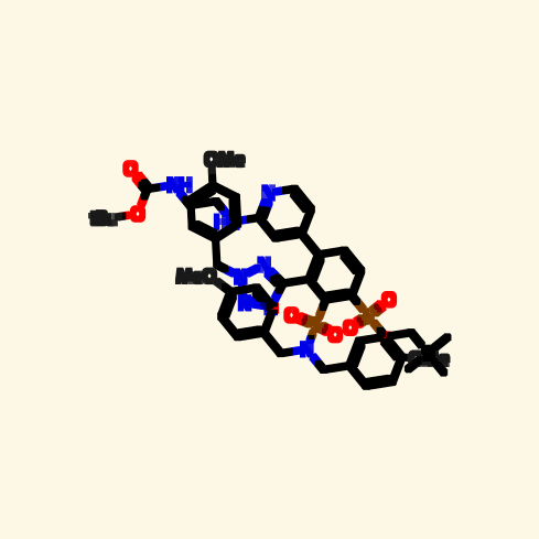 COc1ccc(CN(Cc2ccc(OC)cc2)S(=O)(=O)c2c(S(=O)(=O)CC[Si](C)(C)C)ccc(-c3ccnc(NCCNC(=O)OC(C)(C)C)c3)c2-c2nnn(Cc3ccc(OC)cc3)n2)cc1